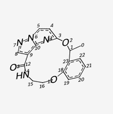 CC1Oc2ccn3ncc(c3n2)C(=O)NCCOc2ccccc21